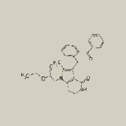 CCOC(=O)Cn1c(C)c(Cc2ccccc2C(=O)c2ccccc2)c2c1CCNC2=O